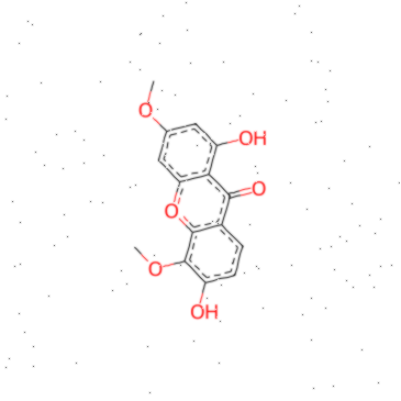 COc1cc(O)c2c(=O)c3ccc(O)c(OC)c3oc2c1